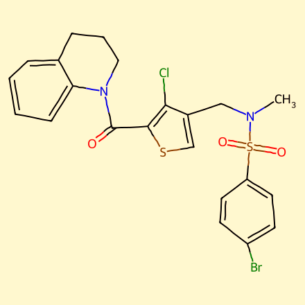 CN(Cc1csc(C(=O)N2CCCc3ccccc32)c1Cl)S(=O)(=O)c1ccc(Br)cc1